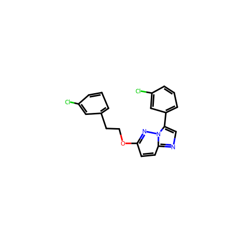 Clc1cccc(CCOc2ccc3ncc(-c4cccc(Cl)c4)n3n2)c1